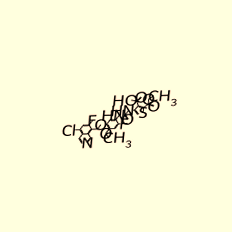 COC(=O)c1scc(NC(=O)Nc2cc(OCc3c(F)cc(Cl)c4ccncc34)c(OC)cc2F)c1C(=O)O